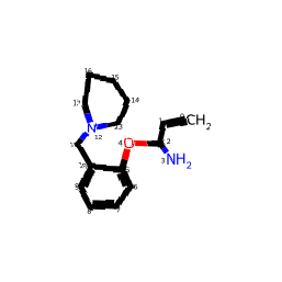 C=CC(N)Oc1ccccc1CN1CCCCC1